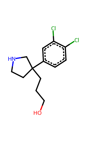 OCCCC1(c2ccc(Cl)c(Cl)c2)CCNC1